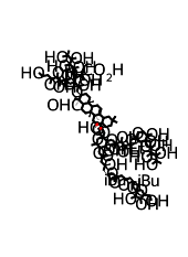 CCC(OC1CC(O)(OC(O)/C(O)=C(\O)C(C)O)C(O)CO1)C(O)C(O)C(O)OC1C(OC(=O)[C@]23CCC(C)(C)CC2C2=CCC4[C@@]5(C)CC[C@H](OC(O)C(OC(O)/C(O)=C(\O)C(O)CCO)C(OC(O)C(O)C(O)C(C)O)C(O)CC(=O)O)[C@@](C)(C=O)C5CC[C@@]4(C)[C@]2(C)C[C@H]3O)OC(C)C(OC(=O)C[C@@H](O)C[C@H](OC(=O)C[C@@H](O)C[C@H](OC2OC(CO)C(O)C2O)[C@@H](C)CC)[C@@H](C)CC)C1O